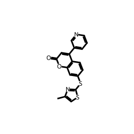 Cc1csc(Sc2ccc3c(-c4cccnc4)cc(=O)oc3c2)n1